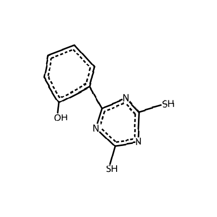 Oc1ccccc1-c1nc(S)nc(S)n1